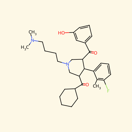 Cc1c(F)cccc1C1C(C(=O)c2cccc(O)c2)CN(CCCCN(C)C)CC1C(=O)C1CCCCC1